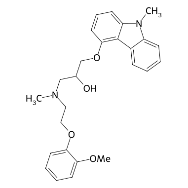 COc1ccccc1OCCN(C)CC(O)COc1cccc2c1c1ccccc1n2C